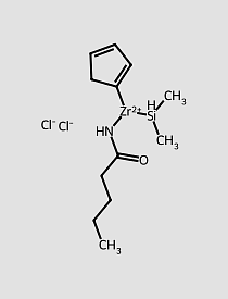 CCCCC(=O)[NH][Zr+2]([C]1=CC=CC1)[SiH](C)C.[Cl-].[Cl-]